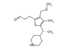 COCc1c(CCC=O)sc([C@H](C)C2CCNCC2)c1C